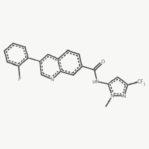 Cn1nc(C(F)(F)F)cc1NC(=O)c1ccc2cc(-c3ccccc3F)cnc2c1